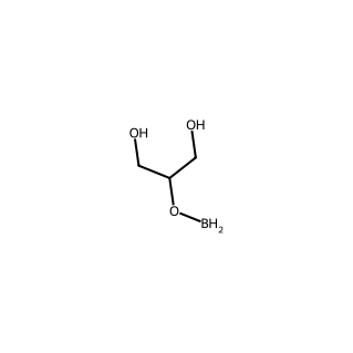 BOC(CO)CO